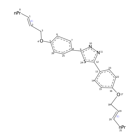 CCC/C=C/COc1ccc(-c2nnc(-c3ccc(OC/C=C/CCC)cc3)s2)cc1